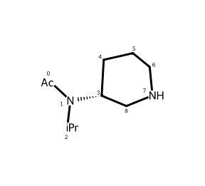 CC(=O)N(C(C)C)[C@@H]1CCCNC1